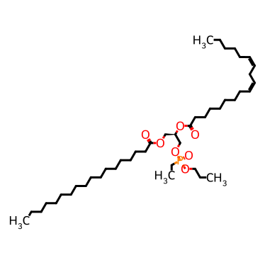 CCCCC/C=C\C/C=C\CCCCCCCC(=O)O[C@H](COC(=O)CCCCCCCCCCCCCCCCC)COP(=O)(CC)OCCC